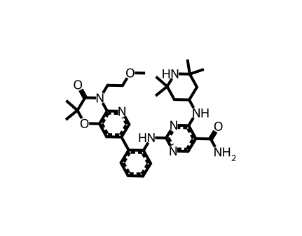 COCCN1C(=O)C(C)(C)Oc2cc(-c3ccccc3Nc3ncc(C(N)=O)c(NC4CC(C)(C)NC(C)(C)C4)n3)cnc21